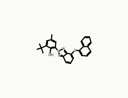 Cc1cc(-n2nc3cccc(Sc4cccc5ccccc45)c3n2)c(O)c(C(C)(C)C)c1